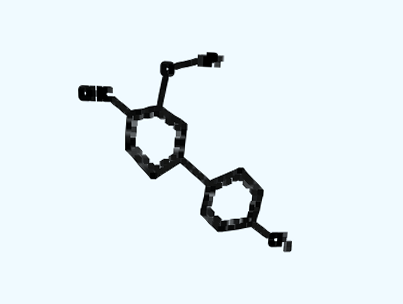 CCCOc1cc(-c2ccc(C(F)(F)F)cc2)ccc1C=O